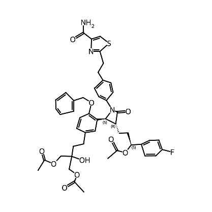 CC(=O)OCC(O)(CCc1ccc(OCc2ccccc2)c([C@@H]2[C@@H](CC[C@H](OC(C)=O)c3ccc(F)cc3)C(=O)N2c2ccc(CCc3nc(C(N)=O)cs3)cc2)c1)COC(C)=O